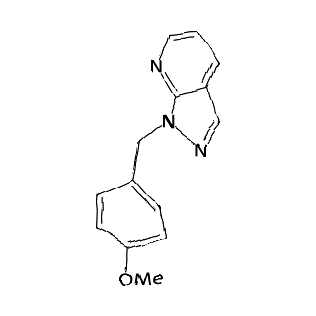 COc1ccc(Cn2ncc3cccnc32)cc1